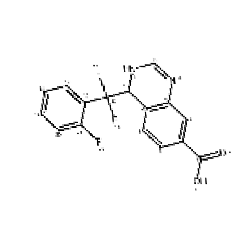 O=C(O)c1ccc2c(c1)N=CNC2C(F)(F)c1ccccc1F